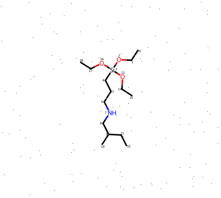 CCO[Si](CCCNCC(C)CC)(OCC)OCC